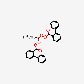 [CH2]CCCC[C](OOC(=O)c1ccccc1-c1ccccc1)OOC(=O)c1ccccc1-c1ccccc1